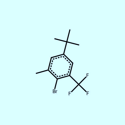 Cc1cc(C(C)(C)C)cc(C(F)(F)F)c1Br